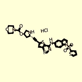 Cl.O=C(O[C@H]1CN[C@H](C#Cc2cc3ncnc(Nc4ccc5c(ccn5S(=O)(=O)c5cccs5)c4)c3s2)C1)N1CCOCC1